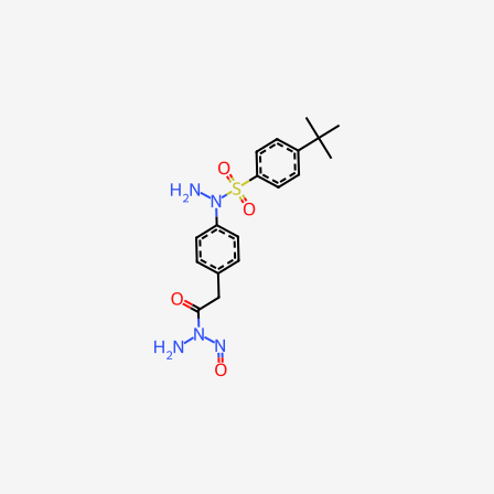 CC(C)(C)c1ccc(S(=O)(=O)N(N)c2ccc(CC(=O)N(N)N=O)cc2)cc1